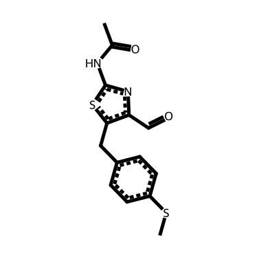 CSc1ccc(Cc2sc(NC(C)=O)nc2C=O)cc1